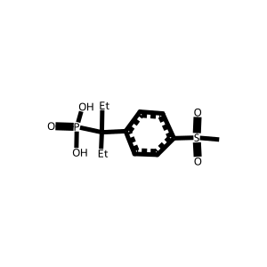 CCC(CC)(c1ccc(S(C)(=O)=O)cc1)P(=O)(O)O